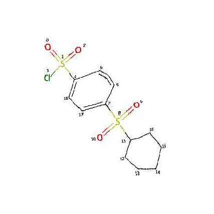 O=S(=O)(Cl)c1ccc(S(=O)(=O)C2CCCCC2)cc1